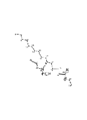 C=CCN(C)C.CCCCCCCCCCCCCCCC(=O)OCC.Cl